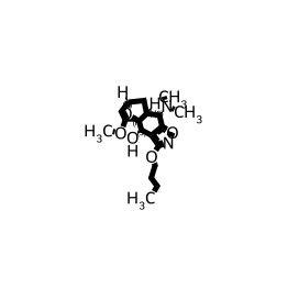 CCCCOc1noc2c1[C@H](O)[C@@]13O[C@@H](C=C1OC)C[C@H]3[C@@H]2N(C)C